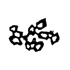 c1ccc(-c2ccc(N(c3cc4ccccc4c4ccccc34)c3cccc4c3oc3ccccc34)cc2-c2ccc3c(c2)sc2ccccc23)cc1